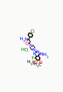 COc1cc2c(N)nc(N3CCN(C(=O)C[C@@H](N)c4ccc(Cl)cc4)CC3)nc2c(F)c1OC.Cl